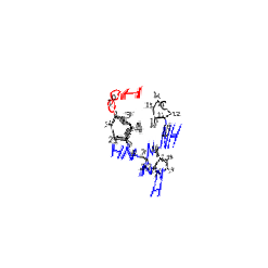 OOc1ccc(Nc2nc(NC3CCCCC3)c3cc[nH]c3n2)cc1